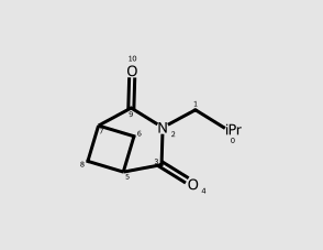 CC(C)CN1C(=O)C2CC(C2)C1=O